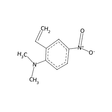 C=Cc1cc([N+](=O)[O-])ccc1N(C)C